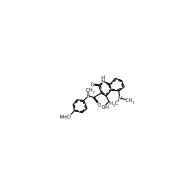 COc1ccc(N(C)C(=O)c2c(CO)c3c(N(C)C)cccc3[nH]c2=O)cc1